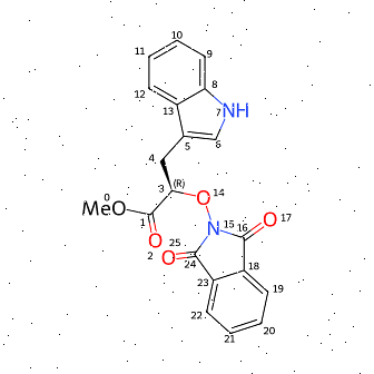 COC(=O)[C@@H](Cc1c[nH]c2ccccc12)ON1C(=O)c2ccccc2C1=O